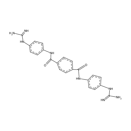 N=C(N)Nc1ccc(NC(=O)c2ccc(C(=O)Nc3ccc(NC(=N)N)cc3)cc2)cc1